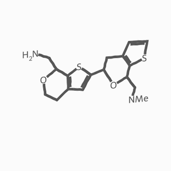 CNCC1OC(c2cc3c(s2)C(CN)OCC3)Cc2ccsc21